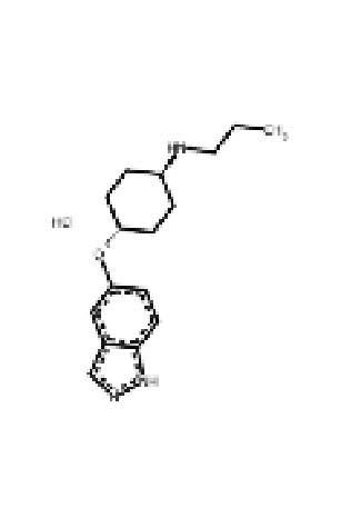 CCCN[C@H]1CC[C@H](Oc2ccc3[nH]ncc3c2)CC1.Cl